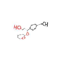 C#Cc1ccc([C@@H](CCO)OC2CCCCO2)cc1